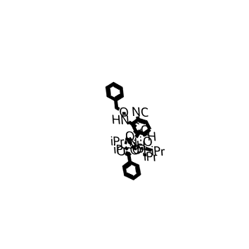 [C-]#[N+]C1=CC2O[C@@H](N(C)OC(=O)c3ccccc3)CC1(NOCc1ccccc1)C1O[Si](C(C)C)(C(C)C)O[Si](C(C)C)(C(C)C)O[C@H]21